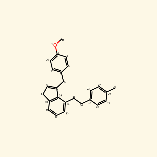 COc1ccc(CC2=CCc3cccc(CCc4ccc(C)cc4)c32)cc1